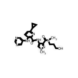 CN(CCCO)C(=O)c1nn(C)cc1NC(=O)c1nc(C2CC2)ccc1Nc1cncnc1